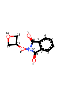 O=C1c2ccccc2C(=O)N1OC1COC1